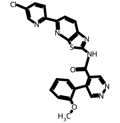 COc1ccccc1-c1cnncc1C(=O)Nc1nc2ccc(-c3ccc(Cl)cn3)nc2s1